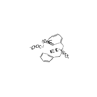 CCCCCCCCCCCC(=O)[O-].CC[N+](CC)(Cc1ccccc1)Cc1ccccc1